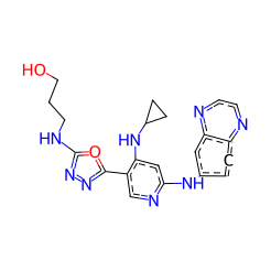 OCCCNc1nnc(-c2cnc(Nc3ccc4nccnc4c3)cc2NC2CC2)o1